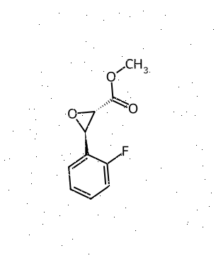 COC(=O)[C@H]1O[C@@H]1c1ccccc1F